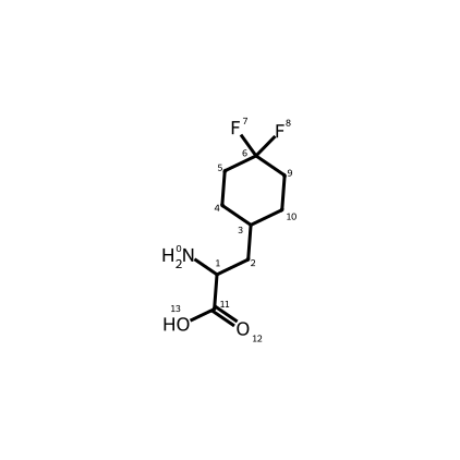 NC(CC1CCC(F)(F)CC1)C(=O)O